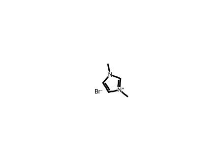 Cn1cc[n+](C)c1.[Br-]